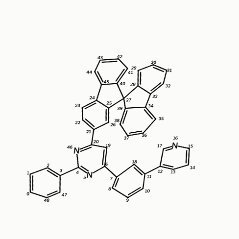 c1ccc(-c2nc(-c3cccc(-c4cccnc4)c3)cc(-c3ccc4c(c3)C3(c5ccccc5-c5ccccc53)c3ccccc3-4)n2)cc1